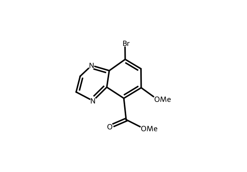 COC(=O)c1c(OC)cc(Br)c2nccnc12